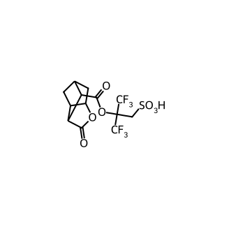 O=C(OC(CS(=O)(=O)O)(C(F)(F)F)C(F)(F)F)C1C2CC3OC(=O)C1C3C2